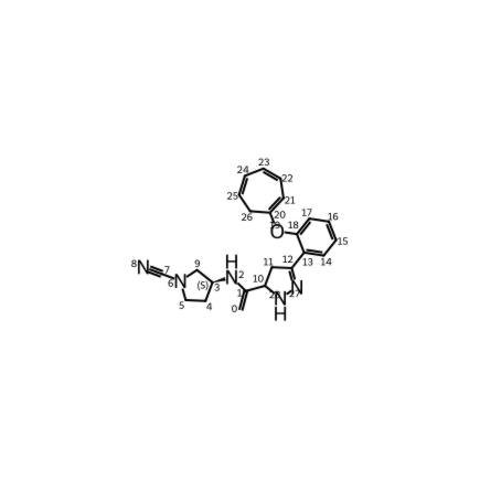 C=C(N[C@H]1CCN(C#N)C1)C1CC(c2ccccc2OC2=CC=CC=CC2)=NN1